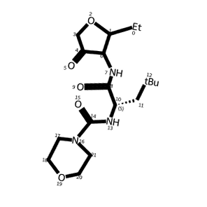 CCC1OCC(=O)C1NC(=O)[C@H](CC(C)(C)C)NC(=O)N1CCOCC1